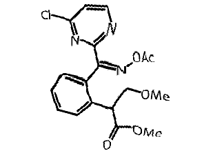 COCC(C(=O)OC)c1ccccc1C(=NOC(C)=O)c1nccc(Cl)n1